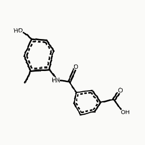 Cc1cc(O)ccc1NC(=O)c1cccc(C(=O)O)c1